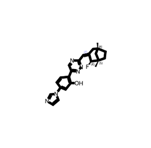 C[C@@]12CC[C@@](C)(C1)[C@@H](F)/C(=C\c1ncc(-c3ccc(-n4ccnc4)cc3O)nn1)C2